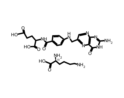 NCCCC[C@H](N)C(=O)O.Nc1nc2ncc(CNc3ccc(C(=O)NC(CCC(=O)O)C(=O)O)cc3)nc2c(=O)[nH]1